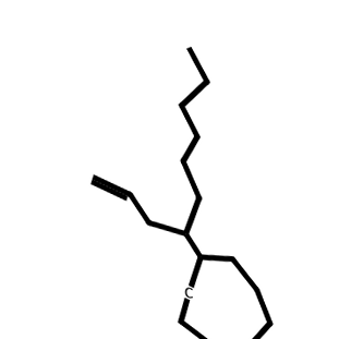 C=CCC(CCCCCC)C1CCCCCCC1